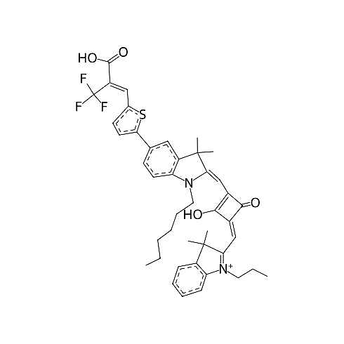 CCCCCCN1C(=CC2=C(O)C(=CC3=[N+](CCC)c4ccccc4C3(C)C)C2=O)C(C)(C)c2cc(-c3ccc(/C=C(/C(=O)O)C(F)(F)F)s3)ccc21